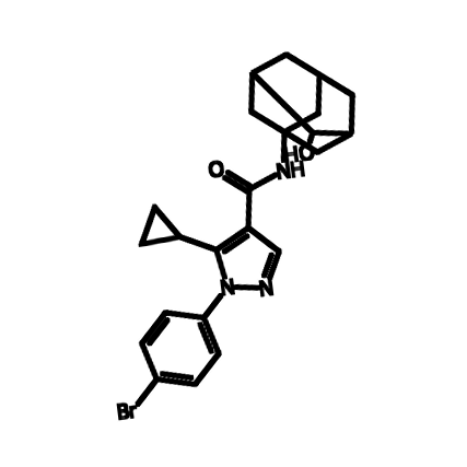 O=C(NC12CC3CC(C1)C(O)C(C3)C2)c1cnn(-c2ccc(Br)cc2)c1C1CC1